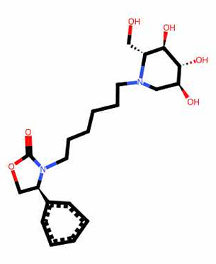 O=C1OC[C@H](c2ccccc2)N1CCCCCCN1C[C@H](O)[C@@H](O)[C@H](O)[C@H]1CO